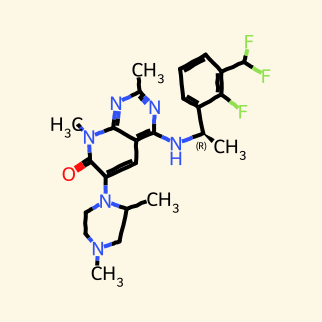 Cc1nc(N[C@H](C)c2cccc(C(F)F)c2F)c2cc(N3CCN(C)CC3C)c(=O)n(C)c2n1